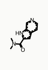 CN(C)C(=O)c1cc2ccncc2[nH]1